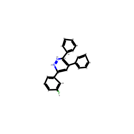 Fc1cccc(-c2cc(-c3ccccc3)c(-c3ccccc3)nn2)c1